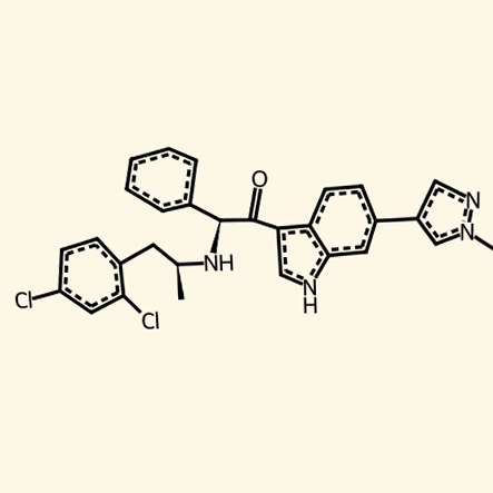 C[C@@H](Cc1ccc(Cl)cc1Cl)N[C@H](C(=O)c1c[nH]c2cc(-c3cnn(C)c3)ccc12)c1ccccc1